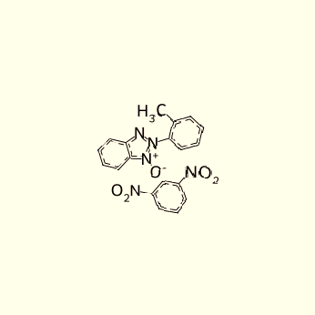 Cc1ccccc1-n1nc2ccccc2[n+]1[O-].O=[N+]([O-])c1cccc([N+](=O)[O-])c1